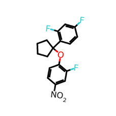 O=[N+]([O-])c1ccc(OC2(c3ccc(F)cc3F)CCCC2)c(F)c1